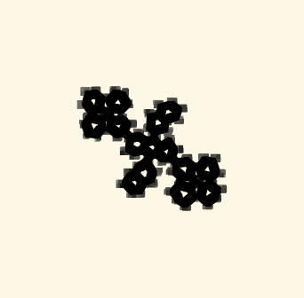 c1ccc([Si](c2ccccc2)(c2ccccc2)c2ccc(-c3ccc4c(-c5ccc6ccccc6c5)c5cc(-c6ccc([Si](c7ccccc7)(c7ccccc7)c7ccccc7)cc6)ccc5c(-c5ccc6ccccc6c5)c4c3)cc2)cc1